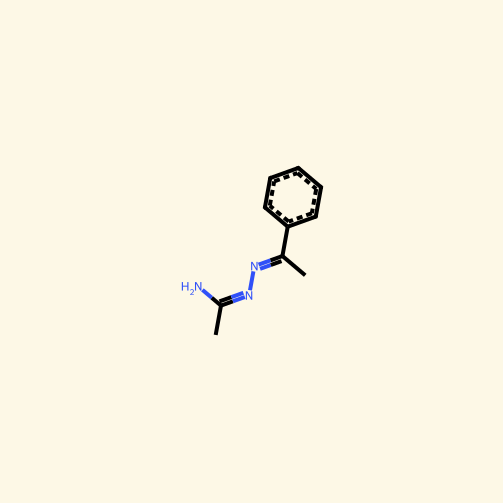 C/C(N)=N/N=C(\C)c1ccccc1